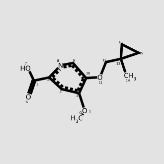 COc1cc(C(=O)O)ncc1OCC1(C)CC1